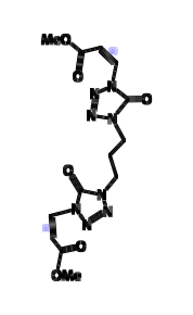 COC(=O)/C=C\n1nnn(CCCn2nnn(/C=C\C(=O)OC)c2=O)c1=O